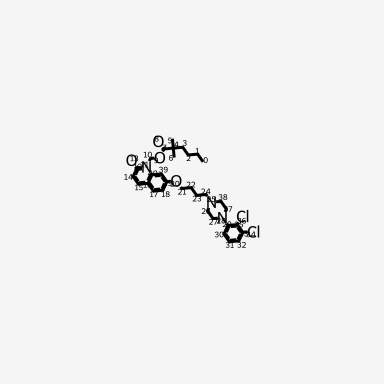 CCCCC(C)(C)C(=O)OCn1c(=O)ccc2ccc(OCCCCN3CCN(c4cccc(Cl)c4Cl)CC3)cc21